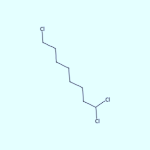 ClCCCCCCCC(Cl)Cl